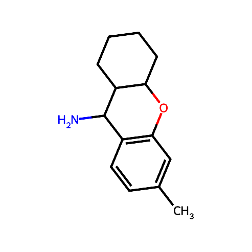 Cc1ccc2c(c1)OC1CCCCC1C2N